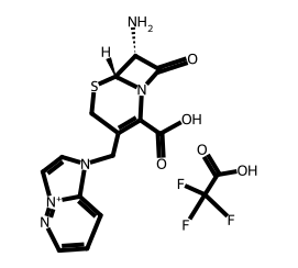 N[C@@H]1C(=O)N2C(C(=O)O)=C(Cn3cc[n+]4ncccc34)CS[C@H]12.O=C(O)C(F)(F)F